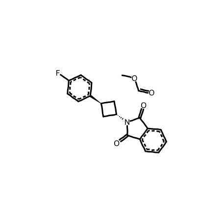 COC=O.O=C1c2ccccc2C(=O)N1[C@H]1C[C@H](c2ccc(F)cc2)C1